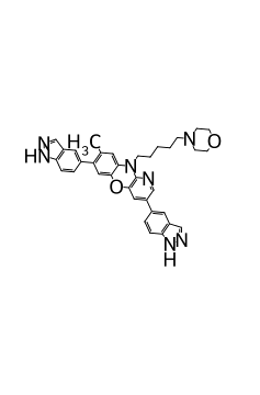 Cc1cc2c(cc1-c1ccc3[nH]ncc3c1)Oc1cc(-c3ccc4[nH]ncc4c3)cnc1N2CCCCCN1CCOCC1